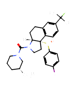 O=C(O)[C@H]1CCCN(C(=O)N2CC[C@@]3([S+]([O-])c4ccc(I)cc4)c4ccc(C(F)(C(F)(F)F)C(F)(F)F)cc4CC[C@@H]23)C1